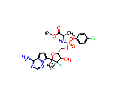 CC(C)OC(=O)[C@H](C)NP(=O)(OC[C@H]1O[C@@](C#N)(c2ccc3c(N)ncnn23)[C@](C)(F)[C@@H]1O)Oc1ccc(Cl)cc1